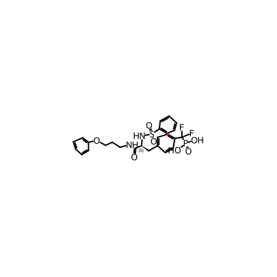 O=C(NCCCOc1ccccc1)[C@H](Cc1ccc(C(F)(F)P(=O)(O)O)cc1)NS(=O)(=O)c1ccccc1